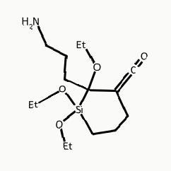 CCOC1(CCCN)C(=C=O)CCC[Si]1(OCC)OCC